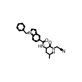 CC(C)CC(NC(=O)c1ccc2c(ccn2Cc2ccccc2)c1)C(=O)NCC#N